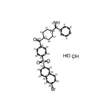 Cl.Cl.N=C(c1ccccc1)N1CCC(C(=O)c2ccc(S(=O)(=O)c3ccc4cc(Br)ccc4c3)cc2)CC1